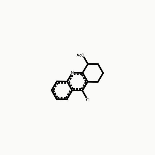 CC(=O)OC1CCCc2c1nc1ccccc1c2Cl